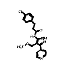 COCc1c(-c2ccncc2)n[nH]c1NC(=O)CCc1ccc(Cl)cc1